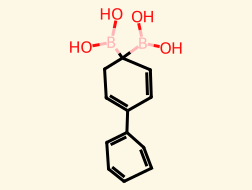 OB(O)C1(B(O)O)C=CC(c2ccccc2)=CC1